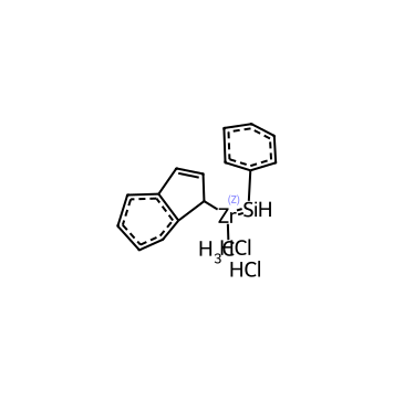 Cl.Cl.[CH3]/[Zr](=[SiH]/c1ccccc1)[CH]1C=Cc2ccccc21